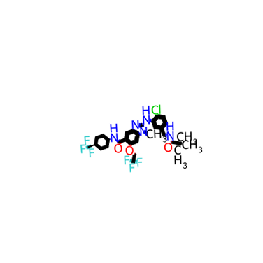 Cn1c(Nc2cc(CNC(=O)C(C)(C)C)ccc2Cl)nc2cc(C(=O)N[C@H]3CC[C@H](C(F)(F)F)CC3)c(OCC(F)(F)F)cc21